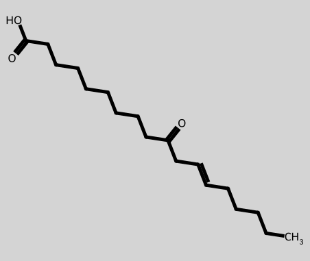 CCCCCC=CCC(=O)CCCCCCCCC(=O)O